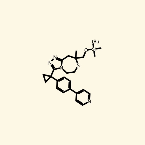 CC1(CO[Si](C)(C)C(C)(C)C)Cc2nnc(C3(c4ccc(-c5ccncc5)cc4)CC3)n2CCS1